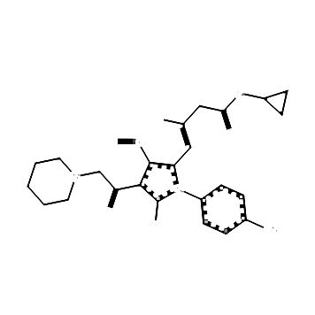 C=Nc1c(C(=O)CN2CCCCC2)c(C)n(-c2ccc(C#N)cc2)c1/C=C(\C)CC(=O)NC1CC1